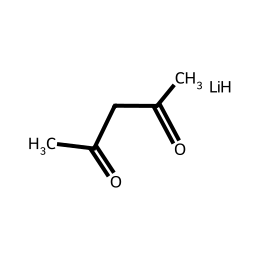 CC(=O)CC(C)=O.[LiH]